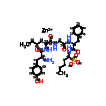 CCCCC(NC(=O)[C@H](Cc1ccccc1)NC(=O)CNC(=O)[C@@H](CCCC)NC(=O)[C@@H](N)Cc1ccc(O)cc1)P(=O)([O-])[O-].[Zn+2]